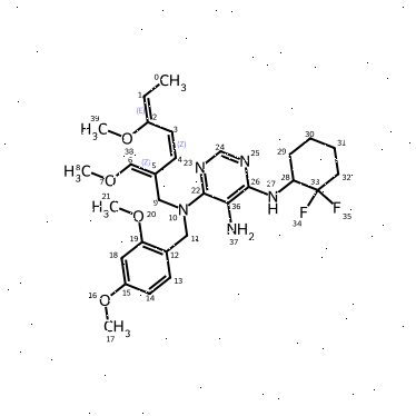 C\C=C(/C=C\C(=C\OC)CN(Cc1ccc(OC)cc1OC)c1ncnc(NC2CCCCC2(F)F)c1N)OC